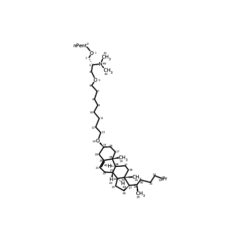 CCCCCOC[C@@H](COCCCCCCCCO[C@H]1CC[C@@]2(C)C(=CC[C@H]3[C@@H]4CC[C@H]([C@H](C)CCCC(C)C)[C@@]4(C)CC[C@@H]32)C1)N(C)C